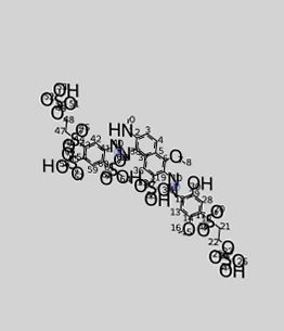 CNc1ccc2c(OC)c(/N=N/c3cc(OC)c(S(=O)(=O)CCOS(=O)(=O)O)cc3O)c(S(=O)(=O)O)cc2c1/N=N/c1cc(S(=O)(=O)CCOS(=O)(=O)O)c(S(=O)(=O)O)cc1S(=O)(=O)O